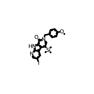 COc1ccc(Cn2cc([Si](C)(C)C)c3c([nH]c4ncc(I)cc43)c2=O)cc1